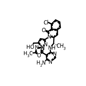 Cc1nnc(-c2c(N)ncnc2N[C@@H](C)c2cc3cccc(Cl)c3c(=O)n2-c2cc(CO)[nH]n2)o1